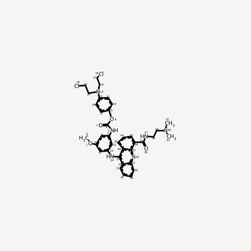 COc1cc(NC(=O)Oc2ccc(N(CCCl)CCCl)cc2)cc(Nc2c3ccccc3nc3c(C(=O)NCCN(C)C)cccc23)c1